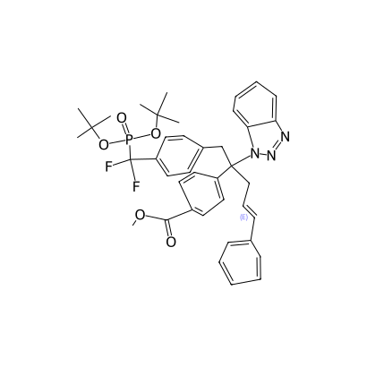 COC(=O)c1ccc(C(C/C=C/c2ccccc2)(Cc2ccc(C(F)(F)P(=O)(OC(C)(C)C)OC(C)(C)C)cc2)n2nnc3ccccc32)cc1